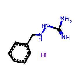 I.N=C(N)NNCc1ccccc1